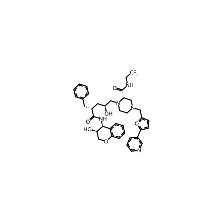 O=C(N[C@H]1c2ccccc2OC[C@H]1O)[C@H](Cc1ccccc1)C[C@H](O)CN1CCN(Cc2ccc(-c3cccnc3)o2)C[C@H]1C(=O)NCC(F)(F)F